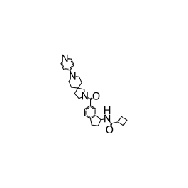 O=C(NC1CCc2ccc(C(=O)N3CCC4(CCN(c5ccncc5)CC4)C3)cc21)C1CCC1